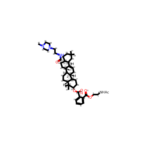 CC(=O)NCCOC(=O)c1ccccc1C(O)O[C@H]1CC[C@]2(C)[C@H]3CC=C4[C@@H]5CC(C)(C)CC[C@]5(C(=O)NCCN5CCN(C)CC5)CC[C@@]4(C)[C@]3(C)CC[C@H]2C1(C)C